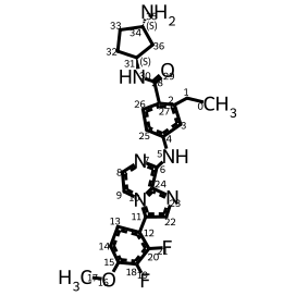 CCc1cc(Nc2nccn3c(-c4ccc(OC)c(F)c4F)cnc23)ccc1C(=O)N[C@H]1CC[C@H](N)C1